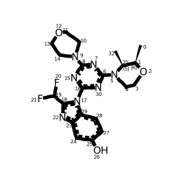 C[C@H]1OCCN(c2nc(N3CCOCC3)nc(-n3c(C(F)F)nc4cc(O)ccc43)n2)[C@H]1C